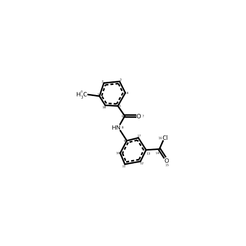 Cc1cccc(C(=O)Nc2cccc(C(=O)Cl)c2)c1